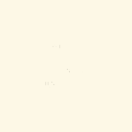 Nc1cn(C2CCC2)c2cc(O)ccc12